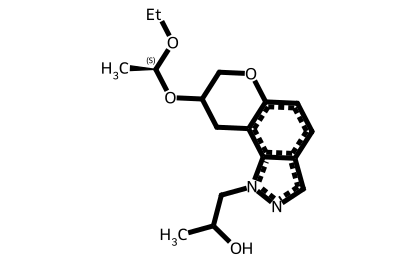 CCO[C@H](C)OC1COc2ccc3cnn(CC(C)O)c3c2C1